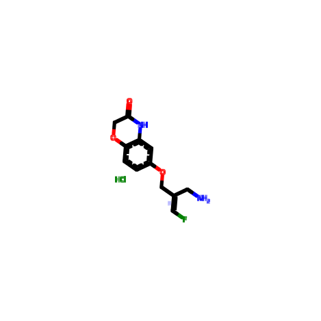 Cl.NC/C(=C\F)COc1ccc2c(c1)NC(=O)CO2